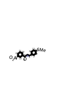 CSc1ccc(/C=C/C(=O)c2cccc([N+](=O)[O-])c2)cc1